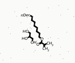 C=C(C)C(=O)OCCCCCCCCCCCCCCCCCC.OCC(O)CO